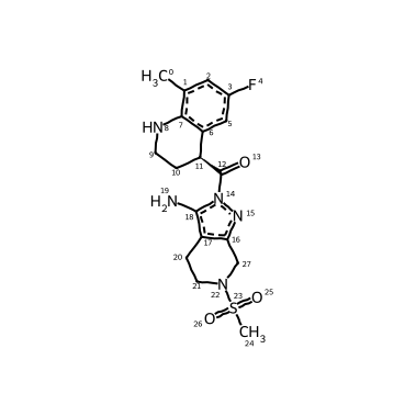 Cc1cc(F)cc2c1NCC[C@@H]2C(=O)n1nc2c(c1N)CCN(S(C)(=O)=O)C2